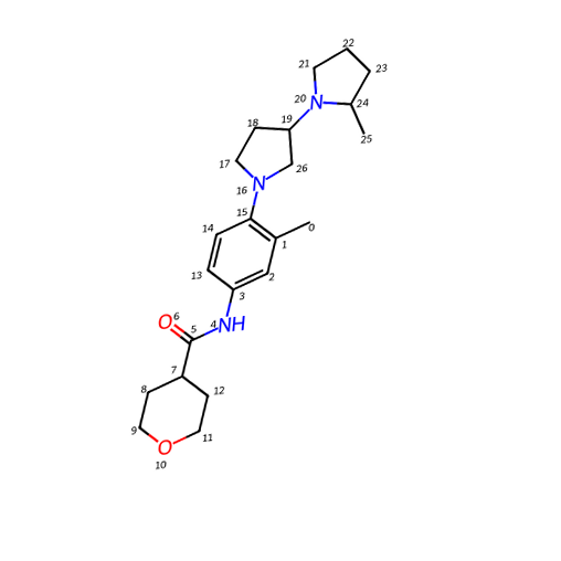 Cc1cc(NC(=O)C2CCOCC2)ccc1N1CCC(N2CCCC2C)C1